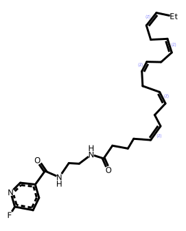 CC/C=C\C/C=C\C/C=C\C/C=C\C/C=C\CCCC(=O)NCCNC(=O)c1ccc(F)nc1